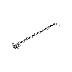 CCCCCCOCCOCCOCCOCCOCCOCCOCCOC(=O)ON1C(=O)CCC1=O